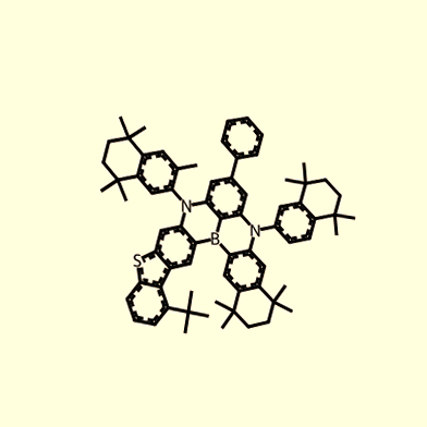 Cc1cc2c(cc1N1c3cc4sc5cccc(C(C)(C)C)c5c4cc3B3c4cc5c(cc4N(c4ccc6c(c4)C(C)(C)CCC6(C)C)c4cc(-c6ccccc6)cc1c43)C(C)(C)CCC5(C)C)C(C)(C)CCC2(C)C